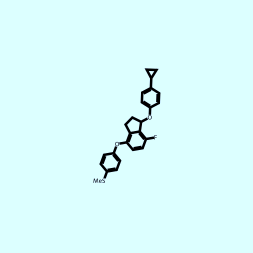 CSc1ccc(Oc2ccc(F)c3c2CCC3Oc2ccc(C3CC3)cc2)cc1